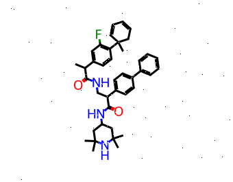 CC(C(=O)NCC(C(=O)NC1CC(C)(C)NC(C)(C)C1)c1ccc(-c2ccccc2)cc1)c1ccc(C2(C)C=CC=CC2)c(F)c1